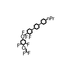 CCCc1ccc(-c2ccc(-c3ccc(C(F)(F)Oc4cc(F)c(OC=C(F)F)c(F)c4)c(F)c3)cc2)cc1